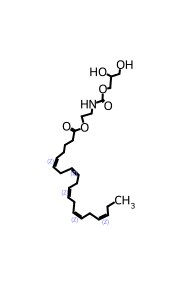 CC/C=C\C/C=C\C/C=C\C/C=C\C/C=C\CCCC(=O)OCCNC(=O)OCC(O)CO